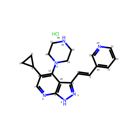 C(=C\c1n[nH]c2ncc(C3CC3)c(N3CCNCC3)c12)/c1cccnc1.Cl